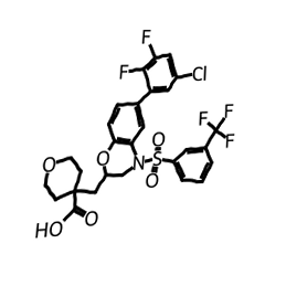 O=C(O)C1(CC2CN(S(=O)(=O)c3cccc(C(F)(F)F)c3)c3cc(-c4cc(Cl)cc(F)c4F)ccc3O2)CCOCC1